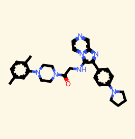 Cc1ccc(C)c(N2CCN(C(=O)CNc3c(-c4ccc(N5CCCC5)cc4)nc4cnccn34)CC2)c1